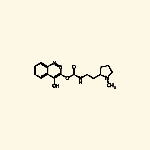 CN1CCCC1CCNC(=O)Oc1nnc2ccccc2c1O